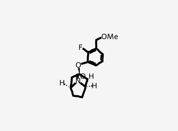 COCc1cccc(O[C@H]2C[C@H]3CC[C@@H](C2)N3C(=O)O)c1F